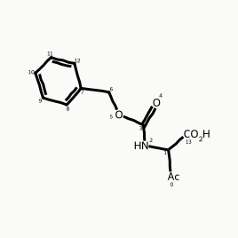 CC(=O)C(NC(=O)OCc1ccccc1)C(=O)O